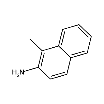 Cc1c(N)ccc2ccccc12